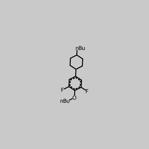 CCCCOc1c(F)cc(C2CCC(CCCC)CC2)cc1F